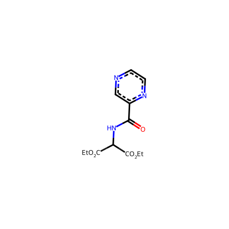 CCOC(=O)C(NC(=O)c1cnccn1)C(=O)OCC